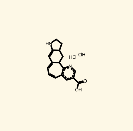 Cl.Cl.O=C(O)c1cnc2c(c1)C=CC=C1C=C3NCCC3CC12